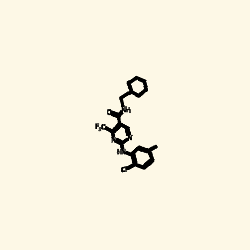 Cc1ccc(Cl)c(Nc2ncc(C(=O)NCC3CCCCC3)c(C(F)(F)F)n2)c1